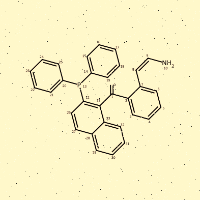 C=C(c1ccccc1/C=C\N)c1c(P(c2ccccc2)c2ccccc2)ccc2ccccc12